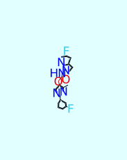 Cc1nc(-c2cccc(F)c2)ncc1OC(=O)Nn1ccc2cc(F)cnc21